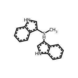 C[SH](c1c[nH]c2ccccc12)c1c[nH]c2ccccc12